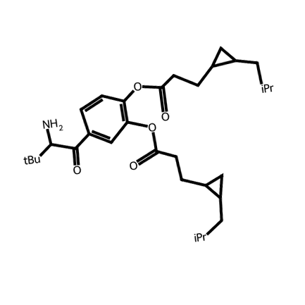 CC(C)CC1CC1CCC(=O)Oc1ccc(C(=O)C(N)C(C)(C)C)cc1OC(=O)CCC1CC1CC(C)C